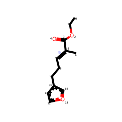 CCOC(=O)/C(C)=C/CCc1ccoc1